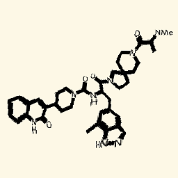 CNC(C)C(=O)N1CCC2(CC1)CCN(C(=O)C(Cc1cc(C)c3[nH]ncc3c1)NC(=O)N1CCC(c3cc4ccccc4[nH]c3=O)CC1)C2